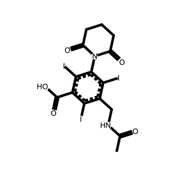 CC(=O)NCc1c(I)c(C(=O)O)c(I)c(N2C(=O)CCCC2=O)c1I